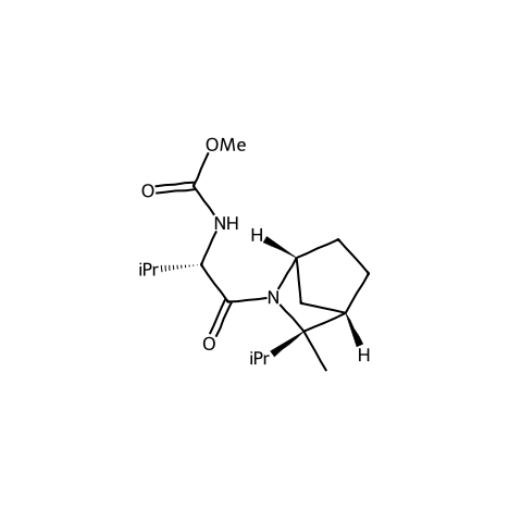 COC(=O)N[C@H](C(=O)N1[C@@H]2CC[C@@H](C2)[C@@]1(C)C(C)C)C(C)C